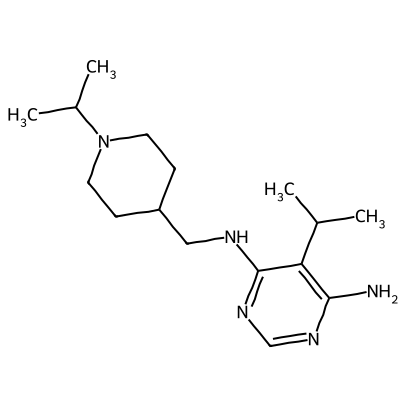 CC(C)c1c(N)ncnc1NCC1CCN(C(C)C)CC1